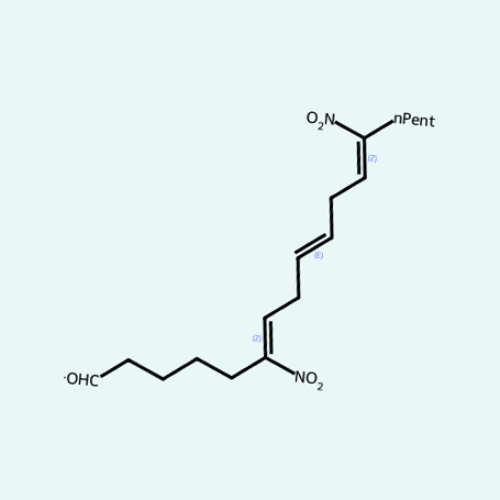 CCCCC/C(=C/C/C=C/C/C=C(/CCCC[C]=O)[N+](=O)[O-])[N+](=O)[O-]